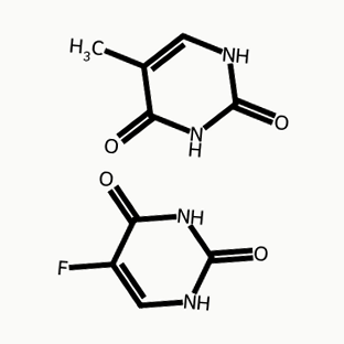 Cc1c[nH]c(=O)[nH]c1=O.O=c1[nH]cc(F)c(=O)[nH]1